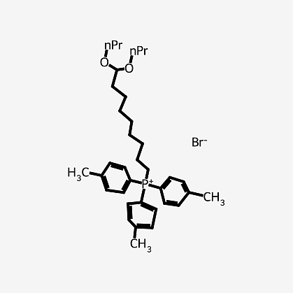 CCCOC(CCCCCCCC[P+](c1ccc(C)cc1)(c1ccc(C)cc1)c1ccc(C)cc1)OCCC.[Br-]